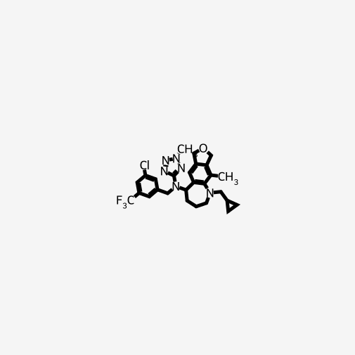 Cc1c2c(cc3c1N(CC1CC1)CCCC3N(Cc1cc(Cl)cc(C(F)(F)F)c1)c1nnn(C)n1)COC2